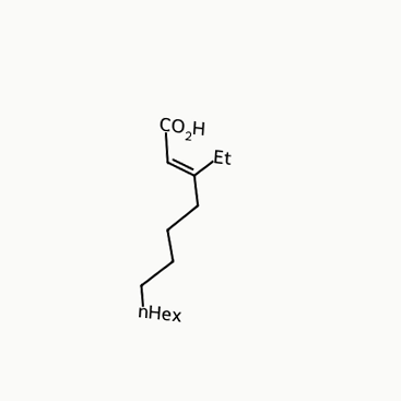 CCCCCCCCCCC(=CC(=O)O)CC